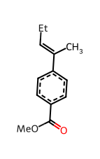 CCC=C(C)c1ccc(C(=O)OC)cc1